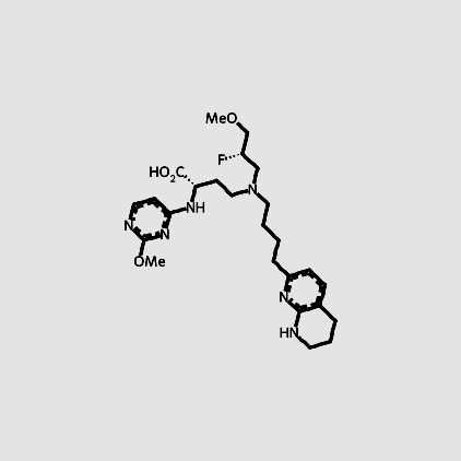 COC[C@@H](F)CN(CCCCc1ccc2c(n1)NCCC2)CC[C@H](Nc1ccnc(OC)n1)C(=O)O